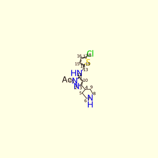 CC(=O)n1nc(C2CCNCC2)cc1NCc1ccc(Cl)s1